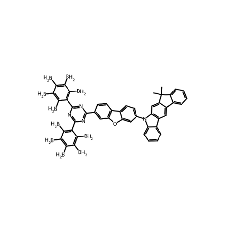 Bc1c(B)c(B)c(-c2nc(-c3ccc4c(c3)oc3cc(-n5c6ccccc6c6cc7c(cc65)C(C)(C)c5ccccc5-7)ccc34)nc(-c3c(B)c(B)c(B)c(B)c3B)n2)c(B)c1B